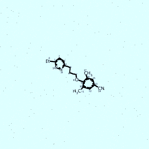 CCc1ccc(CCCOc2c(C)cc(C#N)cc2C)nn1